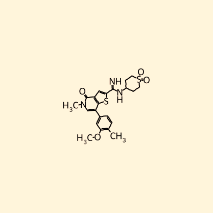 COc1cc(-c2cn(C)c(=O)c3cc(C(=N)NC4CCS(=O)(=O)CC4)sc23)ccc1C